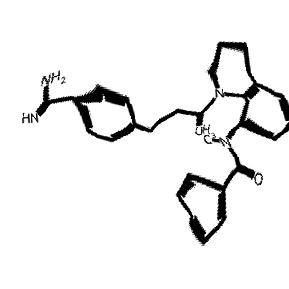 CN(C(=O)c1ccccc1)c1cccc2c1N(C(=O)CCc1ccc(C(=N)N)cc1)CCC2